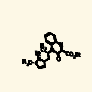 CCOC(=O)c1nc2ccccc2n([C@H](C)C[C@H]2C=C[C@H](C)N2CC)c1=O